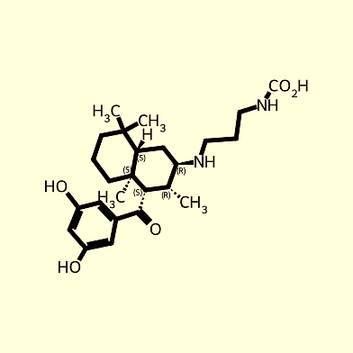 C[C@H]1[C@H](NCCCNC(=O)O)C[C@H]2C(C)(C)CCC[C@]2(C)[C@H]1C(=O)c1cc(O)cc(O)c1